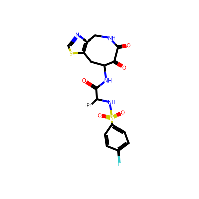 CC(C)C(NS(=O)(=O)c1ccc(F)cc1)C(=O)NC1Cc2scnc2CNC(=O)C1=O